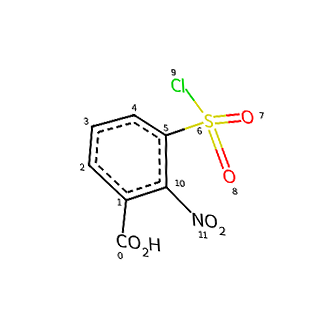 O=C(O)c1cccc(S(=O)(=O)Cl)c1[N+](=O)[O-]